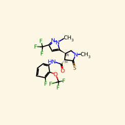 CN1C[C@H](c2cc(C(F)(F)F)nn2C)[C@@H](C(=O)Nc2cccc(F)c2OC(F)(F)F)C1=S